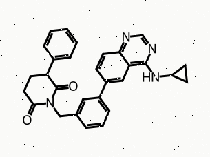 O=C1CCC(c2ccccc2)C(=O)N1Cc1cccc(-c2ccc3ncnc(NC4CC4)c3c2)c1